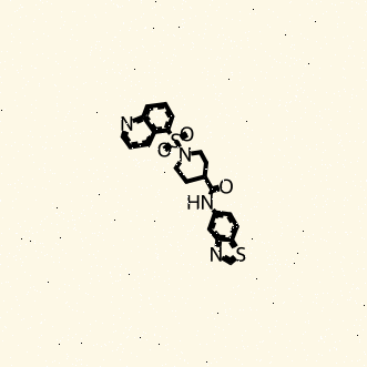 O=C(Nc1ccc2scnc2c1)C1CCN(S(=O)(=O)c2cccc3ncccc23)CC1